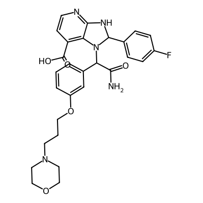 NC(=O)C(c1cccc(OCCCN2CCOCC2)c1)N1c2c(C(=O)O)ccnc2NC1c1ccc(F)cc1